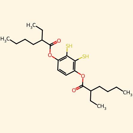 CCCCC(CC)C(=O)Oc1ccc(OC(=O)C(CC)CCCC)c(S)c1S